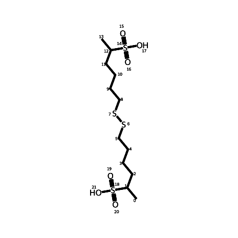 CC(CCCCSSCCCCC(C)S(=O)(=O)O)S(=O)(=O)O